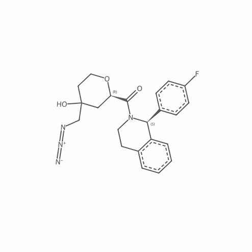 [N-]=[N+]=NCC1(O)CCO[C@@H](C(=O)N2CCc3ccccc3[C@@H]2c2ccc(F)cc2)C1